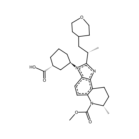 COC(=O)N1c2ccc3c(nc([C@@H](C)CC4CCOCC4)n3[C@@H]3CCC[C@@H](C(=O)O)C3)c2CC[C@@H]1C